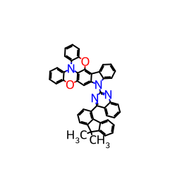 CC1(C)c2ccccc2-c2c(-c3nc(-n4c5ccccc5c5c6c7c(cc54)Oc4ccccc4N7c4ccccc4O6)nc4ccccc34)cccc21